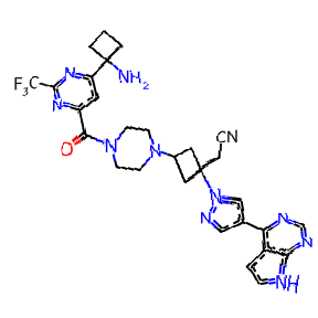 N#CCC1(n2cc(-c3ncnc4[nH]ccc34)cn2)CC(N2CCN(C(=O)c3cc(C4(N)CCC4)nc(C(F)(F)F)n3)CC2)C1